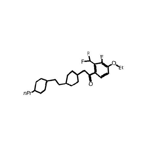 CCCC1CCC(CCC2CCC(CC(=O)c3ccc(OCC)c(F)c3C(F)F)CC2)CC1